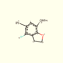 COc1cc(C(C)C)c(F)c2c1OCC2